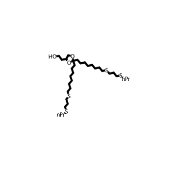 CCCSCCCSCCCCCCCCC1(CCCCCCCCSCCCSCCC)OCC(CCO)O1